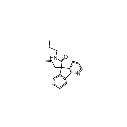 C=CCC1(C(=O)NCCC)c2ccccc2-c2ncccc21